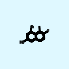 Cc1c(F)ccc2cc(O)cc(C(C)C)c12